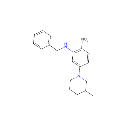 CC1CCCN(c2ccc([N+](=O)[O-])c(NCc3ccccc3)c2)C1